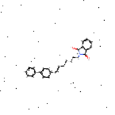 O=C1c2ccccc2C(=O)N1CCCCCC=Cc1ccc(-c2ccccc2)cc1